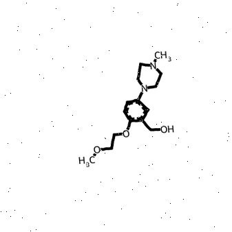 COCCOc1ccc(N2CCN(C)CC2)cc1CO